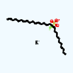 CCCCCCCCCCCCCCCCC(F)(CCCCCCCCCCC)S(=O)(=O)[O-].[K+]